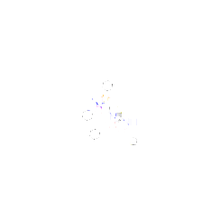 Cc1ccc(S(=O)(=O)/C(=N\N)C2=C(C(=O)OC(c3ccccc3)c3ccccc3)N3C(=O)[C@@H](NC(=O)Cc4cccs4)[C@H]3SC2)cc1